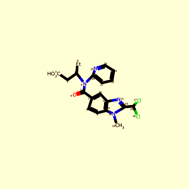 CCC(CC(=O)O)N(C(=O)c1ccc2c(c1)nc(C(Cl)Cl)n2C)c1ccccn1